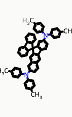 Cc1ccc(N(c2ccc(C)cc2)c2ccc3c(c2)C2(c4ccccc4-c4ccccc42)c2cc4cc(N(c5ccc(C)cc5)c5ccc(C)cc5)ccc4cc2-3)cc1